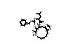 CC(C)CC(NC(=O)OCc1ccccc1)C(=O)NC1Cc2ncoc2CCCCCNC(=O)C1=O